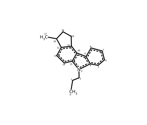 CCCn1c2ccccc2c2c3c(ccc21)C(C)CC3